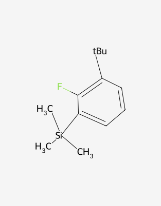 CC(C)(C)c1cccc([Si](C)(C)C)c1F